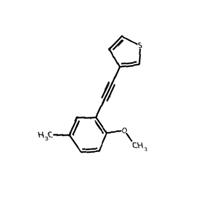 COc1ccc(C)cc1C#Cc1ccsc1